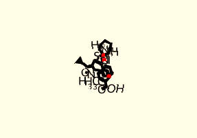 Cc1cc(-c2csc(N3[C@@H]4CC[C@H]3C[C@@H](OCc3c(-c5c(C)cccc5Cl)noc3C3CC3)C4)n2)ccc1C(=O)O